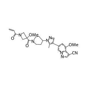 C=CC(=O)N1CC(OC)(C(=O)N2CCC(n3ncc(-c4cc(OC)c5c(C#N)cnn5c4)c3C)CC2)C1